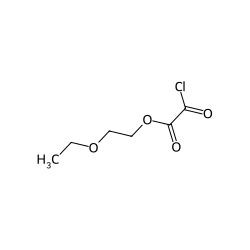 CCOCCOC(=O)C(=O)Cl